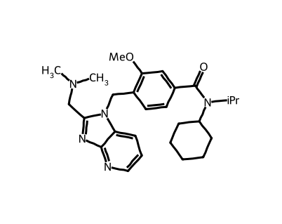 COc1cc(C(=O)N(C(C)C)C2CCCCC2)ccc1Cn1c(CN(C)C)nc2ncccc21